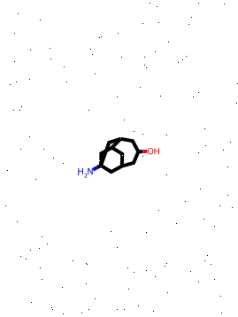 NC12CC3CC(O)CC(C1)C(C3)C2